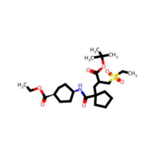 CCOC(=O)[C@H]1CC[C@@H](NC(=O)C2(CC(CS(=O)(=O)CC)C(=O)OC(C)(C)C)CCCC2)CC1